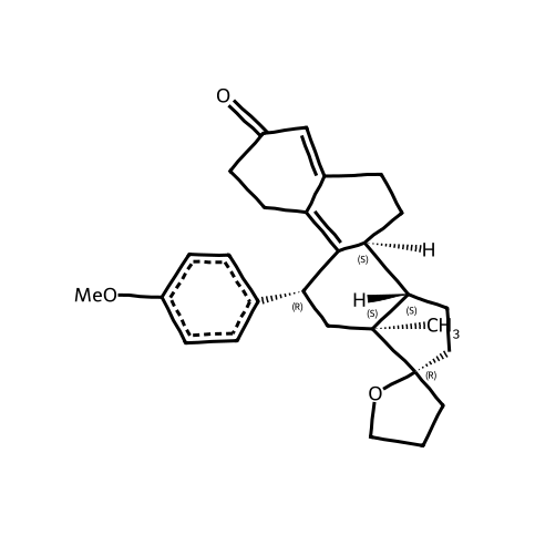 COc1ccc([C@H]2C[C@@]3(C)[C@@H](CC[C@@]34CCCO4)[C@@H]3CCC4=CC(=O)CCC4=C32)cc1